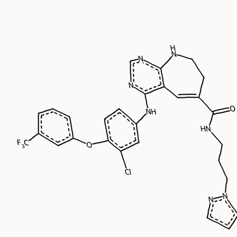 O=C(NCCCn1cccn1)C1=Cc2c(ncnc2Nc2ccc(Oc3cccc(C(F)(F)F)c3)c(Cl)c2)NCC1